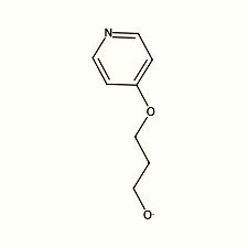 [O]CCCOc1ccncc1